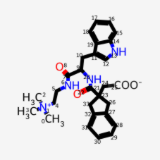 C[N+](C)(C)CCNC(=O)C(Cc1c[nH]c2ccccc12)NC(=O)C1(CC(=O)[O-])Cc2ccccc2C1